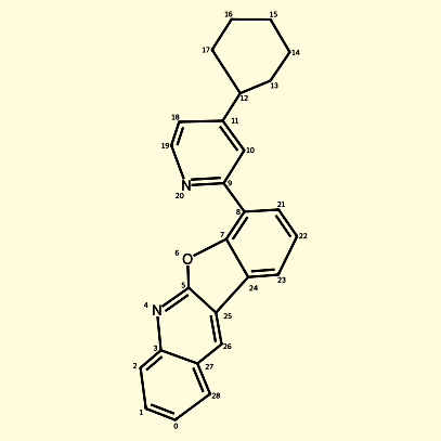 c1ccc2nc3oc4c(-c5cc(C6CCCCC6)ccn5)cccc4c3cc2c1